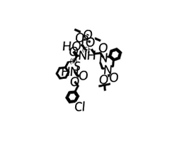 CCOP(=O)(OCC)C(O)[C@H](CCC(=O)N1CCN(C(=O)OC(C)(C)C)Cc2ccccc21)NC(=O)[C@H](CC1CCCCC1)SNC(=O)OCc1cccc(Cl)c1